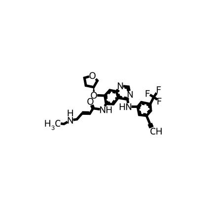 C#Cc1cc(Nc2ncnc3cc(O[C@H]4CCOC4)c(NC(=O)/C=C/CNCC)cc23)cc(C(F)(F)F)c1